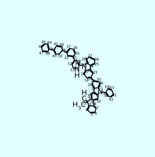 CC1(C)c2ccccc2-c2cc3c(cc21)c1cc(-c2ccc4c(c2)c2ccccc2n4C2=NC(c4cccc(C5C=CC(c6ccccc6)=CC5)c4)=CCN2)ccc1n3-c1ccccc1